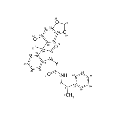 CC(CNC(=O)CN1C(=O)C2(COc3cc4c(cc32)OCO4)c2ccccc21)c1ccccc1